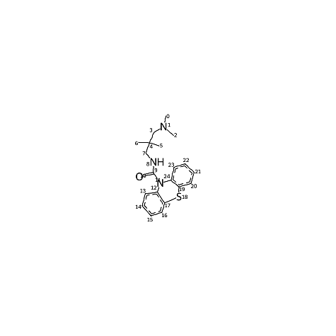 CN(C)CC(C)(C)CNC(=O)N1c2ccccc2Sc2ccccc21